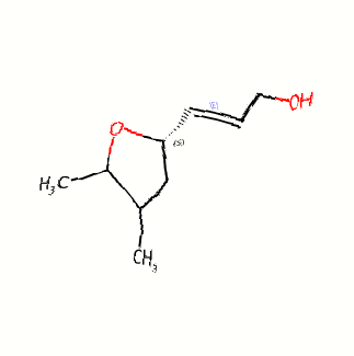 CC1C[C@@H](/C=C/CO)OC1C